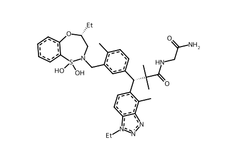 CC[C@@H]1CN(Cc2cc([C@@H](c3ccc4c(nnn4CC)c3C)C(C)(C)C(=O)NCC(N)=O)ccc2C)S(O)(O)c2ccccc2O1